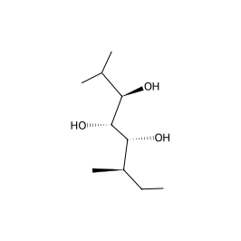 CC[C@@H](C)[C@@H](O)[C@H](O)[C@H](O)C(C)C